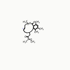 CON(C)C(=O)CC1CC/C=C/C[C@@H](C)OC(=O)c2c(C)cc(C)c(C)c2C1